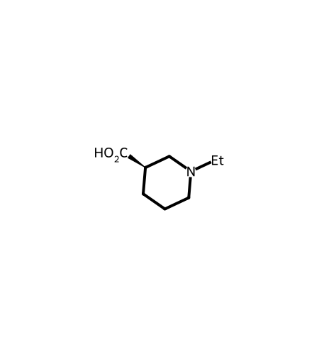 CCN1CCC[C@@H](C(=O)O)C1